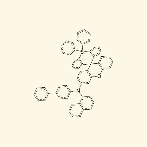 c1ccc(-c2ccc(N(c3ccc4c(c3)Oc3ccccc3C43c4ccccc4[Si](c4ccccc4)(c4ccccc4)c4ccccc43)c3cccc4ccccc34)cc2)cc1